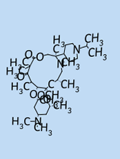 CO[C@]1(C)C[C@@H](C)CN(C)[C@](C)(C2CCN(C(C)C)CC2)COC(=O)C(C)(C)C(=O)[C@H](C)[C@H]1O[C@H]1C[C@@H](N(C)C)C[C@@H](C)O1